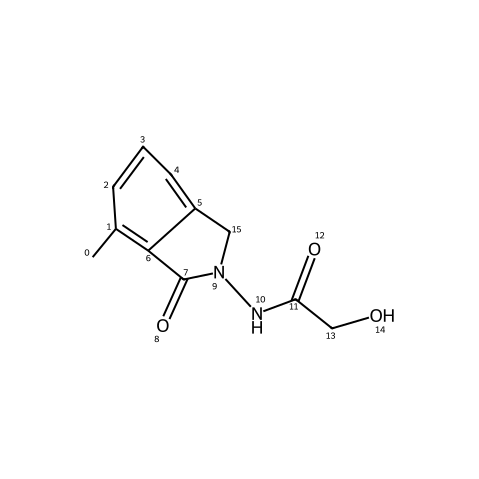 Cc1cccc2c1C(=O)N(NC(=O)CO)C2